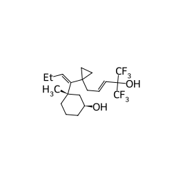 CC/C=C(/C1(C/C=C/C(O)(C(F)(F)F)C(F)(F)F)CC1)[C@@]1(C)CCC[C@H](O)C1